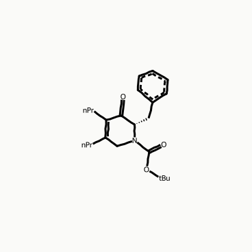 CCCC1=C(CCC)C(=O)[C@H](Cc2ccccc2)N(C(=O)OC(C)(C)C)C1